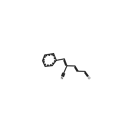 N#CC(C=C[C]=O)=Cc1ccccc1